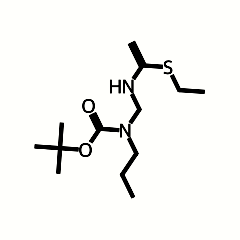 C=C(NCN(CCC)C(=O)OC(C)(C)C)SCC